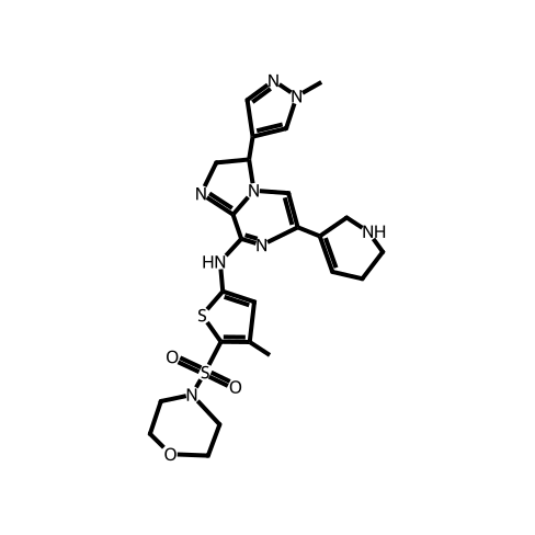 Cc1cc(NC2=NC(C3=CCCNC3)=CN3C2=NCC3c2cnn(C)c2)sc1S(=O)(=O)N1CCOCC1